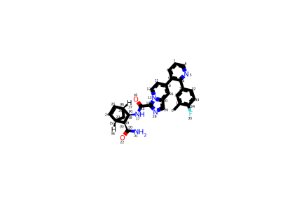 Cc1cc(-c2ncccc2-c2ccn3c(C(=O)N[C@H]4[C@@H](C(N)=O)[C@@H]5C=C[C@H]4C5)ncc3c2)ccc1F